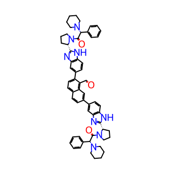 O=Cc1c(-c2ccc3[nH]c([C@@H]4CCCN4C(=O)[C@@H](c4ccccc4)N4CCCCC4)nc3c2)ccc2ccc(-c3ccc4[nH]c([C@@H]5CCCN5C(=O)[C@@H](c5ccccc5)N5CCCCC5)nc4c3)cc12